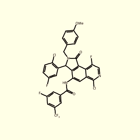 COc1ccc(CN2C(=O)c3c(c(NC(=O)c4cc(F)cc(C(F)(F)F)c4)cc4c(Cl)ncc(F)c34)C2c2cc(F)ccc2Cl)cc1